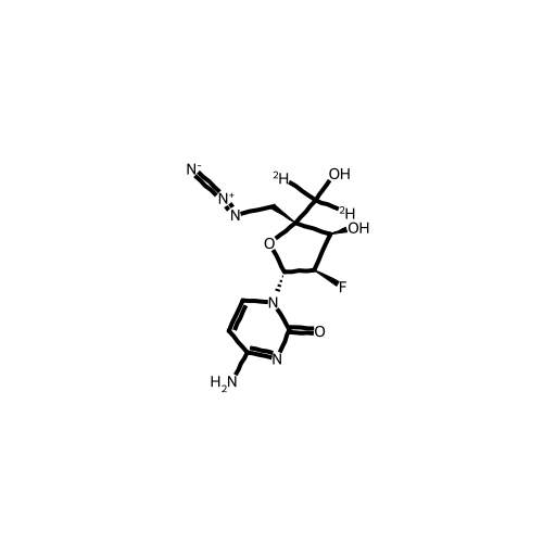 [2H]C([2H])(O)[C@@]1(CN=[N+]=[N-])O[C@@H](n2ccc(N)nc2=O)[C@H](F)[C@@H]1O